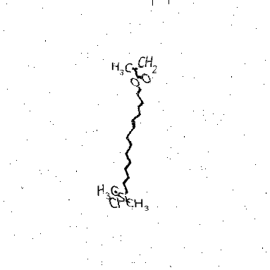 C=C(C)C(=O)OCCCCCCCCCCCCCCC[Si](C)(C)Cl